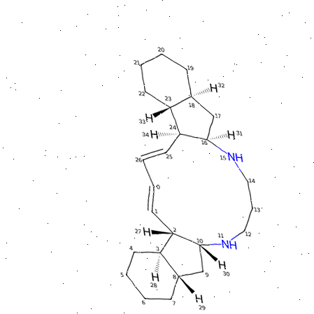 C1=C/[C@H]2[C@@H]3CCCC[C@H]3C[C@H]2NCCCN[C@@H]2C[C@@H]3CCCC[C@H]3[C@@H]2/C=C/1